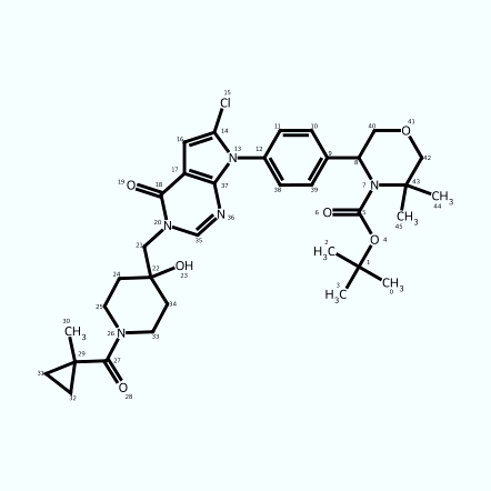 CC(C)(C)OC(=O)N1C(c2ccc(-n3c(Cl)cc4c(=O)n(CC5(O)CCN(C(=O)C6(C)CC6)CC5)cnc43)cc2)COCC1(C)C